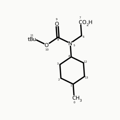 CC1CCC(N(CC(=O)O)C(=O)OC(C)(C)C)CC1